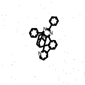 c1ccc(-c2nc(-c3ccccc3)nc(-c3cccc4c3C3(c5ncccc5-4)C4CC5CC(C4)CC3C5)n2)cc1